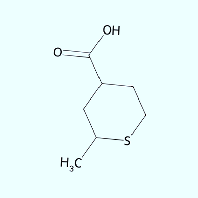 CC1CC(C(=O)O)CCS1